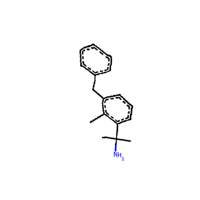 Cc1c(Cc2ccccc2)cccc1C(C)(C)N